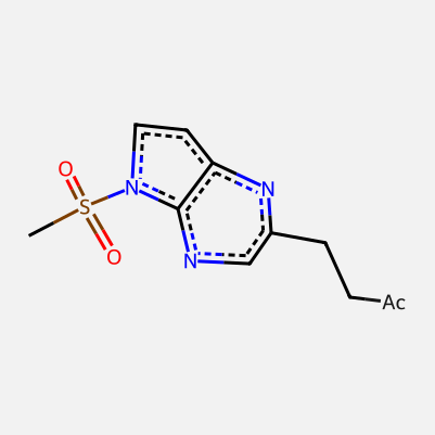 CC(=O)CCc1cnc2c(ccn2S(C)(=O)=O)n1